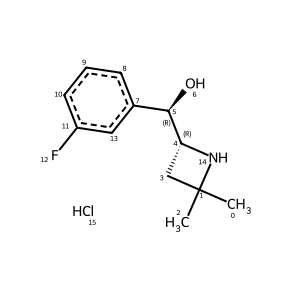 CC1(C)C[C@H]([C@H](O)c2cccc(F)c2)N1.Cl